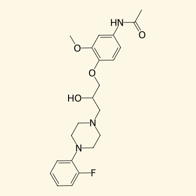 COc1cc(NC(C)=O)ccc1OCC(O)CN1CCN(c2ccccc2F)CC1